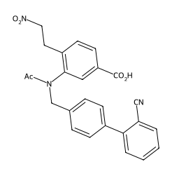 CC(=O)N(Cc1ccc(-c2ccccc2C#N)cc1)c1cc(C(=O)O)ccc1CC[N+](=O)[O-]